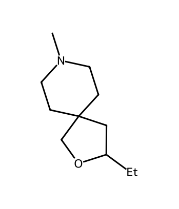 CCC1CC2(CCN(C)CC2)CO1